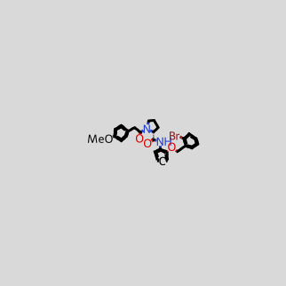 COc1ccc(CC(=O)N2CCC[C@@H]2C(=O)Nc2ccccc2OCc2ccccc2Br)cc1